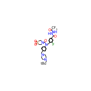 CC(C)(C)CN1CCN(Cc2ccc(N(Cc3ccc(C(=O)NNC(=O)C(F)(F)F)cc3F)C(=O)N3CCS(=O)(=O)CC3)cc2)CC1